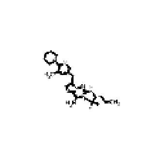 CCC[C@H](Nc1nc(N)c2ncc(Cc3cnc(N4CCCCC4)c(C)c3)n2n1)C(F)(F)F